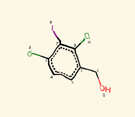 OCc1ccc(Cl)c(I)c1Cl